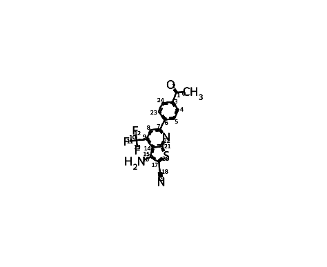 CC(=O)c1ccc(-c2cc(C(F)(F)F)c3c(N)c(C#N)sc3n2)cc1